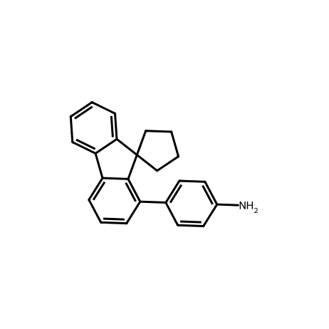 Nc1ccc(-c2cccc3c2C2(CCCC2)c2ccccc2-3)cc1